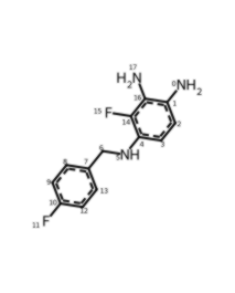 Nc1ccc(NCc2ccc(F)cc2)c(F)c1N